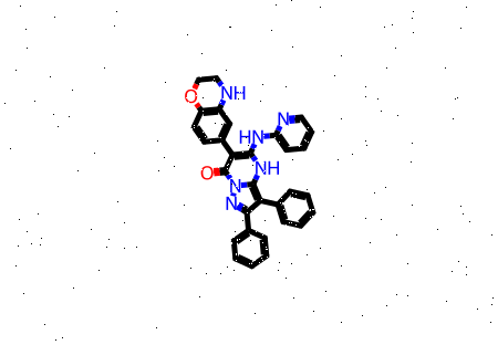 O=c1c(-c2ccc3c(c2)NCCO3)c(Nc2ccccn2)[nH]c2c(-c3ccccc3)c(-c3ccccc3)nn12